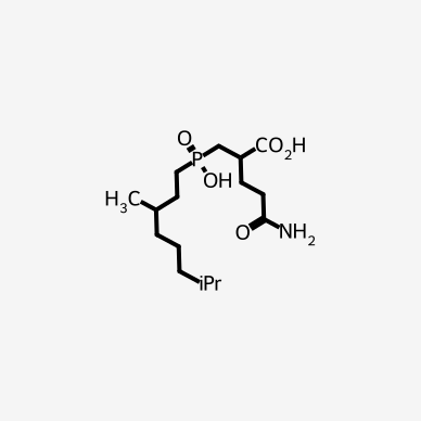 CC(C)CCCC(C)CCP(=O)(O)CC(CCC(N)=O)C(=O)O